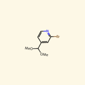 COC(OC)c1ccnc(Br)c1